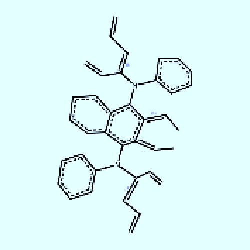 C=C/C=C(\C=C)N(c1ccccc1)c1c(=C/C)/c(=C\C)c(N(/C(C=C)=C/C=C)c2ccccc2)c2ccccc12